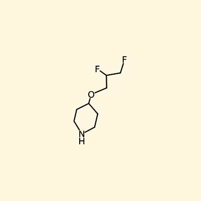 FCC(F)COC1CCNCC1